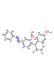 COc1cc(CC(C)[C](C)Cc2ccc(N=Nc3ccccc3)cc2)cc(OC)c1